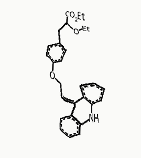 CCOC(=O)C(Cc1ccc(OCC=C2c3ccccc3Nc3ccccc32)cc1)OCC